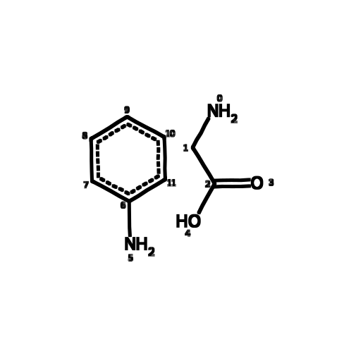 NCC(=O)O.Nc1ccccc1